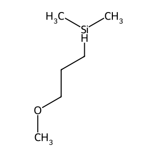 COCCC[SiH](C)C